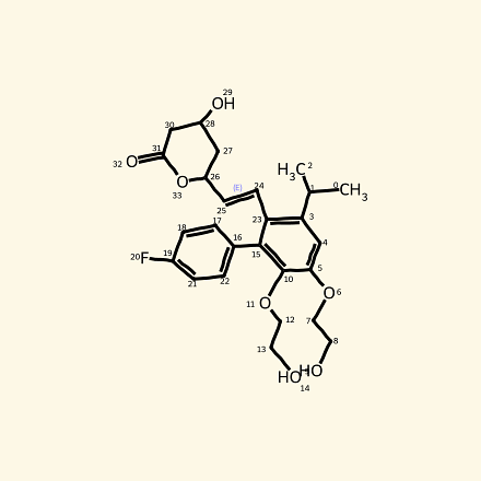 CC(C)c1cc(OCCO)c(OCCO)c(-c2ccc(F)cc2)c1/C=C/C1CC(O)CC(=O)O1